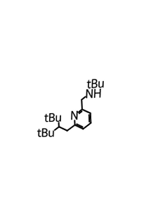 CC(C)(C)NCc1cccc(CC(C(C)(C)C)C(C)(C)C)n1